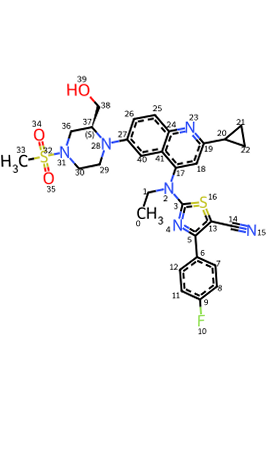 CCN(c1nc(-c2ccc(F)cc2)c(C#N)s1)c1cc(C2CC2)nc2ccc(N3CCN(S(C)(=O)=O)C[C@H]3CO)cc12